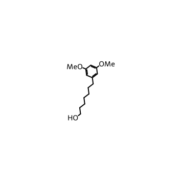 COc1cc(CCCCCCCO)cc(OC)c1